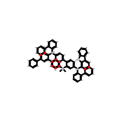 C[Si]1(C)c2cc(N(c3ccccc3-c3ccccc3)c3cccc4c3oc3ccccc34)ccc2-c2ccc(N(c3ccccc3-c3ccccc3)c3c(F)cc(-c4ccccc4)cc3-c3ccccc3)c3cccc1c23